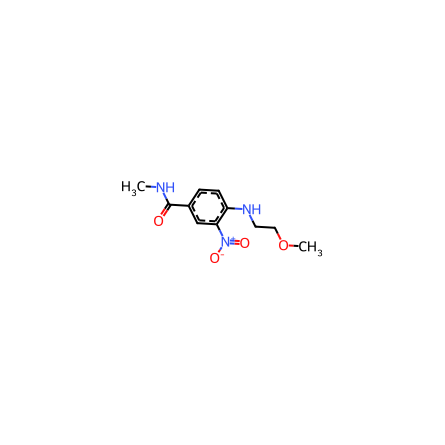 CNC(=O)c1ccc(NCCOC)c([N+](=O)[O-])c1